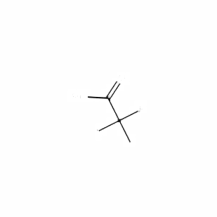 CC(F)(I)C(=O)O